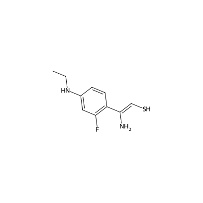 CCNc1ccc(/C(N)=C/S)c(F)c1